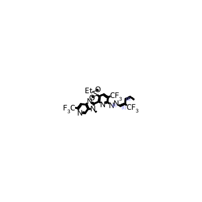 C\C=C/C(=C\N=N\c1nc(-c2nc3cc(C(F)(F)F)ncc3n2C)c(S(=O)(=O)CC)cc1C(F)(F)F)C(F)(F)F